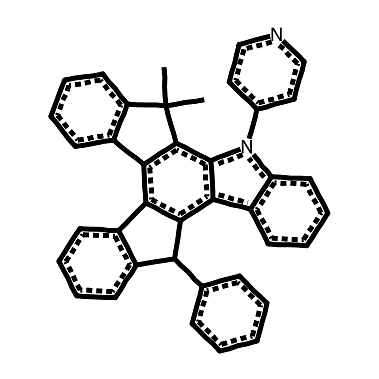 CC1(C)c2ccccc2-c2c3c(c4c5ccccc5n(-c5ccncc5)c4c21)C(c1ccccc1)c1ccccc1-3